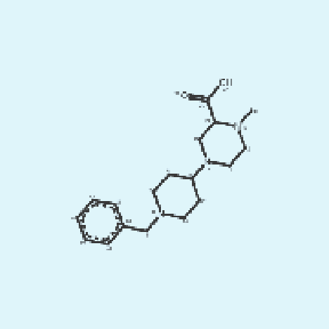 CN1CCN(C2CCN(Cc3ccccc3)CC2)CC1C(=O)O